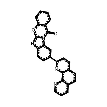 O=c1c2ccccc2oc2nc3ccc(-c4ccc5ccc6cccnc6c5n4)cc3n12